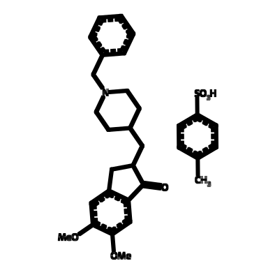 COc1cc2c(cc1OC)C(=O)C(CC1CCN(Cc3ccccc3)CC1)C2.Cc1ccc(S(=O)(=O)O)cc1